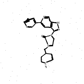 O=C1N(CC2CCNCC2)CCN1c1n[nH]c2cnc(-c3cccnc3)cc12